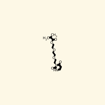 C=C(C)C(=O)OCCOCCOCCn1c(=O)cc[nH]c1=O